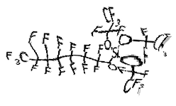 O=C(C(F)(F)C(F)(F)C(F)(F)C(F)(F)C(F)(F)C(F)(F)C(F)(F)F)[Si](OC(F)(F)C(F)(F)F)(OC(F)(F)C(F)(F)F)OC(F)(F)C(F)(F)F